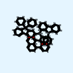 c1ccc(-c2cccc3cccc(-c4ccccc4N(c4ccc5c(c4)C(c4ccccc4)(c4ccccc4)c4ccccc4-5)c4cccc5c6ccccc6n(-c6ccccc6)c45)c23)cc1